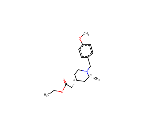 CCOC(=O)C[C@@H]1CCN(Cc2ccc(OC)cc2)[C@H](C)C1